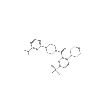 CN(C)c1ncnc(N2CCN(C(=O)c3cc(S(C)(=O)=O)ccc3N3CCOCC3)CC2)n1